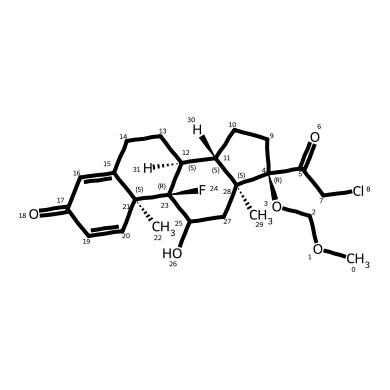 COCO[C@]1(C(=O)CCl)CC[C@H]2[C@@H]3CCC4=CC(=O)C=C[C@]4(C)[C@@]3(F)C(O)C[C@@]21C